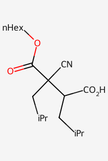 CCCCCCOC(=O)C(C#N)(CC(C)C)C(CC(C)C)C(=O)O